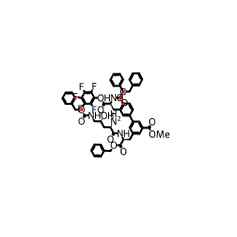 COC(=O)c1cc(C[C@H](NC(=O)[C@@H](N)C[C@@H](O)CNC(=O)OCc2ccccc2)C(=O)OCc2ccccc2)cc(-c2ccc(OCc3ccccc3)c(C[C@H](NC(=O)OCc3ccccc3)C(=O)Oc3c(F)c(F)c(F)c(F)c3F)c2)c1